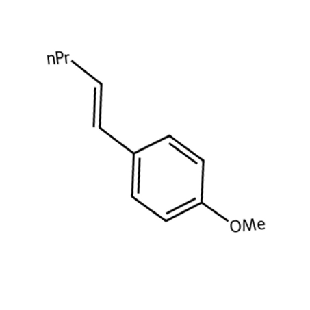 CCC/C=C/c1ccc(OC)cc1